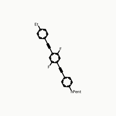 CCCCCc1ccc(C#Cc2cc(F)c(C#Cc3ccc(CC)cc3)cc2F)cc1